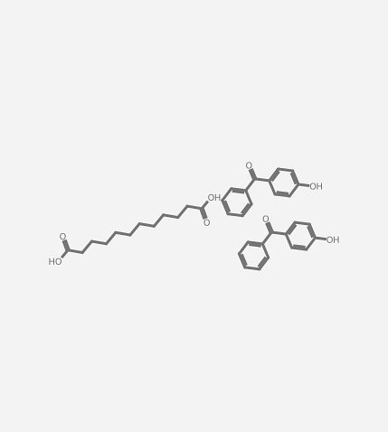 O=C(O)CCCCCCCCCCC(=O)O.O=C(c1ccccc1)c1ccc(O)cc1.O=C(c1ccccc1)c1ccc(O)cc1